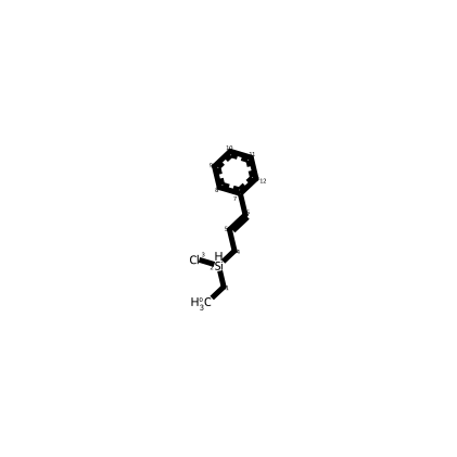 CC[SiH](Cl)CC=Cc1ccccc1